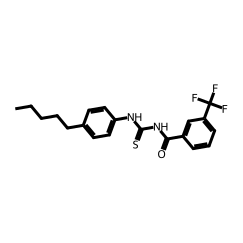 CCCCCc1ccc(NC(=S)NC(=O)c2cccc(C(F)(F)F)c2)cc1